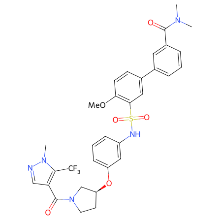 COc1ccc(-c2cccc(C(=O)N(C)C)c2)cc1S(=O)(=O)Nc1cccc(O[C@H]2CCN(C(=O)c3cnn(C)c3C(F)(F)F)C2)c1